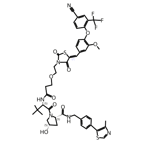 COc1cc(/C=C2\SC(=O)N(CCOCCC(=O)N[C@H](C(=O)N3C[C@@H](O)C[C@H]3C(=O)NCc3ccc(-c4scnc4C)cc3)C(C)(C)C)C2=O)ccc1Oc1ccc(C#N)cc1C(F)(F)F